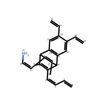 C=C/C=C\C1=C(C)C2C(/C=C\N)=C(C)C1c1cc(C=C)c(C=C)cc12